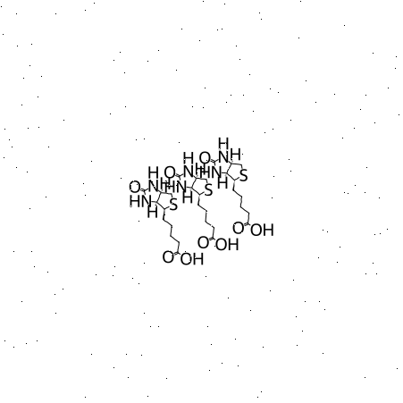 O=C(O)CCCC[C@@H]1SC[C@@H]2NC(=O)N[C@@H]21.O=C(O)CCCC[C@@H]1SC[C@@H]2NC(=O)N[C@@H]21.O=C(O)CCCC[C@@H]1SC[C@@H]2NC(=O)N[C@@H]21